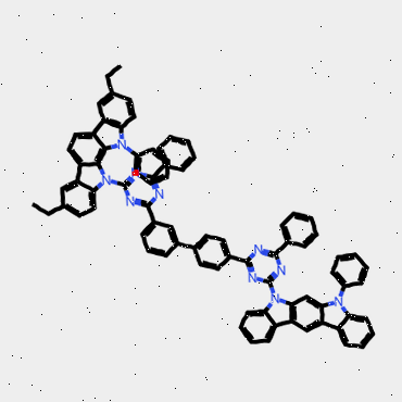 CCc1ccc2c(c1)c1ccc3c4cc(CC)ccc4n(-c4nc(-c5ccccc5)nc(-c5cccc(-c6ccc(-c7nc(-c8ccccc8)nc(-n8c9ccccc9c9cc%10c%11ccccc%11n(-c%11ccccc%11)c%10cc98)n7)cc6)c5)n4)c3c1n2-c1ccccc1